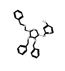 FC(F)(F)c1ccnc(N[C@H]2CO[C@H](COCc3ccccc3)[C@H](OCc3ccccc3)[C@@H]2OCc2ccccc2)c1